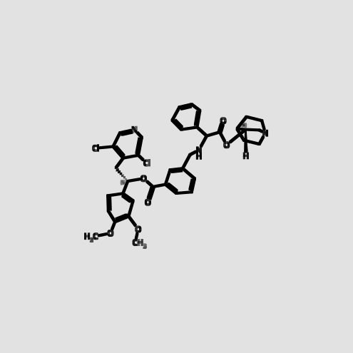 COc1ccc([C@H](Cc2c(Cl)cncc2Cl)OC(=O)c2cccc(CNC(C(=O)O[C@H]3CN4CCC3CC4)c3ccccc3)c2)cc1OC